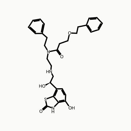 O=C(CCOCCc1ccccc1)N(CCNC[C@H](O)c1ccc(O)c2[nH]c(=O)sc12)CCc1ccccc1